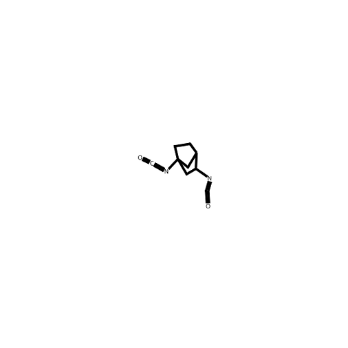 O=C=NC1CC2(N=C=O)CCC1C2